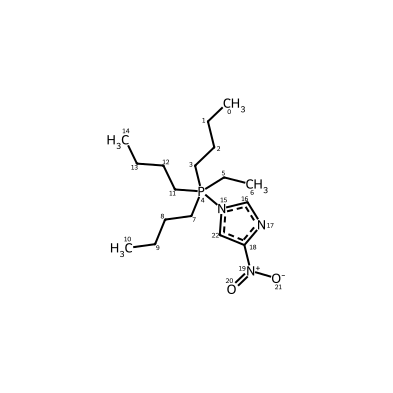 CCCCP(CC)(CCCC)(CCCC)n1cnc([N+](=O)[O-])c1